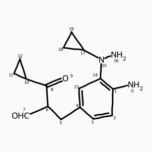 Nc1ccc(CC(C=O)C(=O)C2CC2)cc1N(N)C1CC1